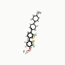 CCCC1CCC(C2CC=C(c3ccc4c(sc5c(F)c(OC(F)(F)F)ccc54)c3F)CC2)CC1